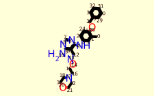 Cc1cc(Nc2ncnc(N)c2/C=N/OCCN2CCOCC2)ccc1OCc1ccccc1